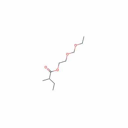 CCOCOCCOC(=O)C(C)CC